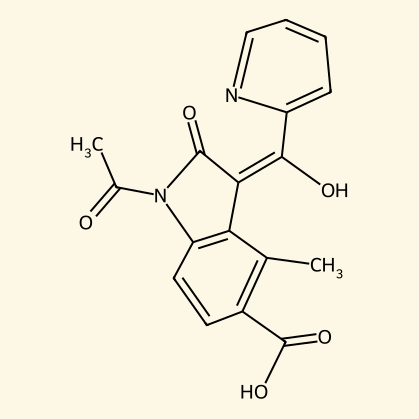 CC(=O)N1C(=O)C(=C(O)c2ccccn2)c2c1ccc(C(=O)O)c2C